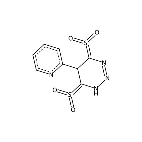 O=S(=O)=C1N=NNC(=S(=O)=O)C1c1ccccn1